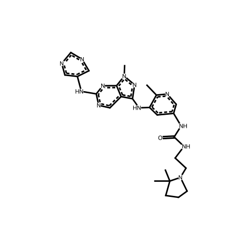 Cc1ncc(NC(=O)NCCN2CCCC2(C)C)cc1Nc1nn(C)c2nc(Nc3cncnc3)ncc12